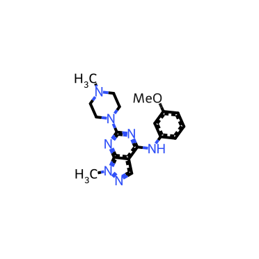 COc1cccc(Nc2nc(N3CCN(C)CC3)nc3c2cnn3C)c1